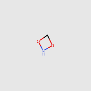 C1ONO1